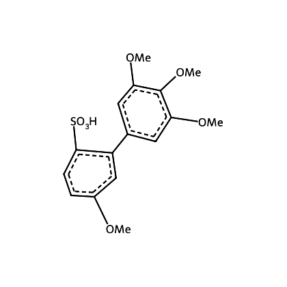 COc1ccc(S(=O)(=O)O)c(-c2cc(OC)c(OC)c(OC)c2)c1